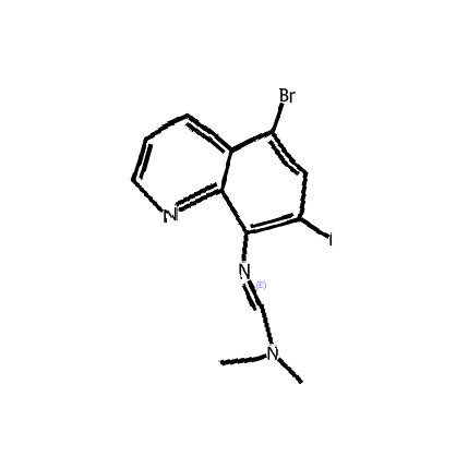 CN(C)/C=N/c1c(I)cc(Br)c2cccnc12